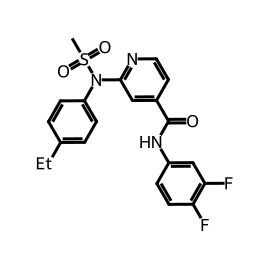 CCc1ccc(N(c2cc(C(=O)Nc3ccc(F)c(F)c3)ccn2)S(C)(=O)=O)cc1